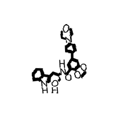 O=C(N[C@@H](CO)Cc1c[nH]c2ccccc12)c1cc(-c2ccc(N3CCOCC3)cc2)cc2c1OCCO2